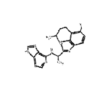 CC(Nc1ncnc2[nH]cnc12)c1nc2ccc(F)c3c2n1C(C)CC3